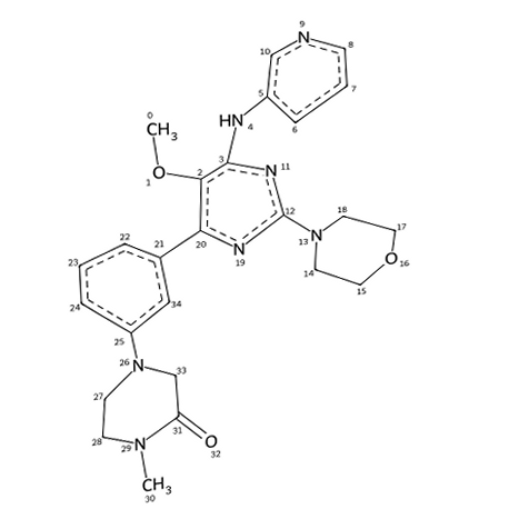 COc1c(Nc2cccnc2)nc(N2CCOCC2)nc1-c1cccc(N2CCN(C)C(=O)C2)c1